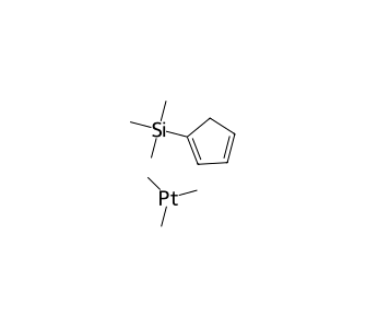 C[Si](C)(C)C1=CC=CC1.[CH3][Pt]([CH3])[CH3]